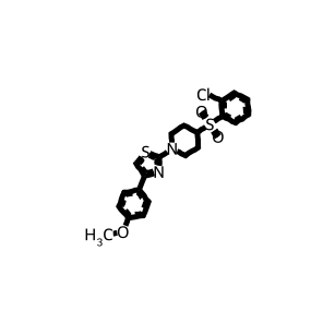 COc1ccc(-c2csc(N3CCC(S(=O)(=O)c4ccccc4Cl)CC3)n2)cc1